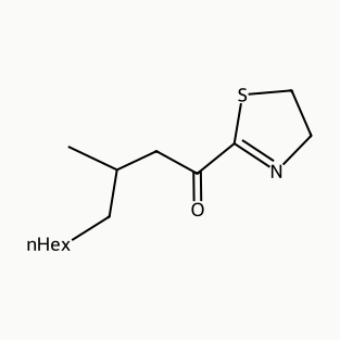 CCCCCCCC(C)CC(=O)C1=NCCS1